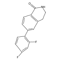 O=C1NCCc2cc(-c3ccc(F)cc3F)ccc21